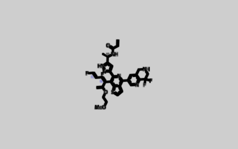 C=CC(=O)N[C@H](C)c1cc(-c2nc(-c3cnc4c(c3)CNCC4(F)F)c3ccsc3c2/C(C(=C)OCCOC)=C(F)/C=C/F)n[nH]1